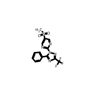 CS(=O)(=O)c1cnc(-n2nc(C(F)(F)F)nc2-c2ccccc2)nc1